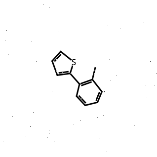 Cc1[c]cccc1-c1cccs1